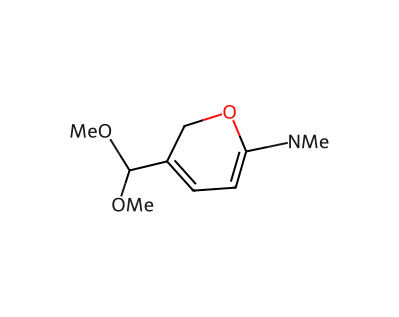 CNC1=CC=C(C(OC)OC)CO1